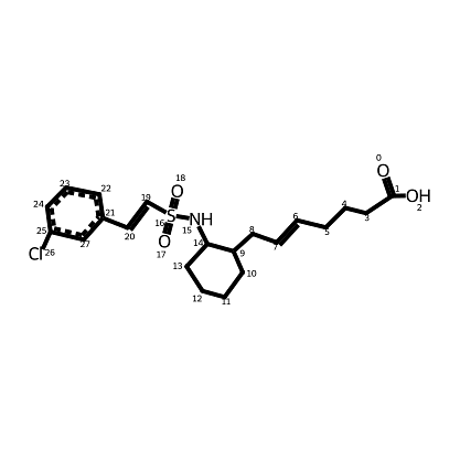 O=C(O)CCCC=CCC1CCCCC1NS(=O)(=O)C=Cc1cccc(Cl)c1